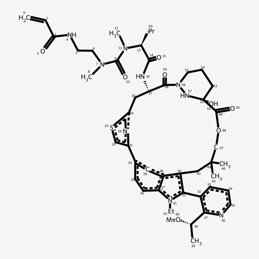 C=CC(=O)NCCN(C)C(=O)N(C)[C@H](C(=O)N[C@H]1Cc2nc(cs2)-c2ccc3c(c2)c(c(-c2cccnc2[C@H](C)OC)n3CC)CC(C)(C)COC(=O)[C@@]2(O)CCCN(N2)C1=O)C(C)C